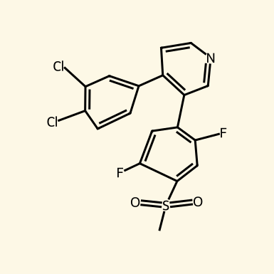 CS(=O)(=O)c1cc(F)c(-c2cnccc2-c2ccc(Cl)c(Cl)c2)cc1F